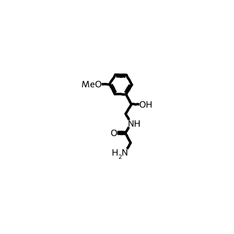 COc1cccc(C(O)CNC(=O)CN)c1